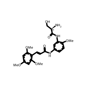 COc1cc(OC)c(C=CC(=O)Nc2ccc(OC)c(NC(=O)[C@H](N)CO)c2)c(OC)c1